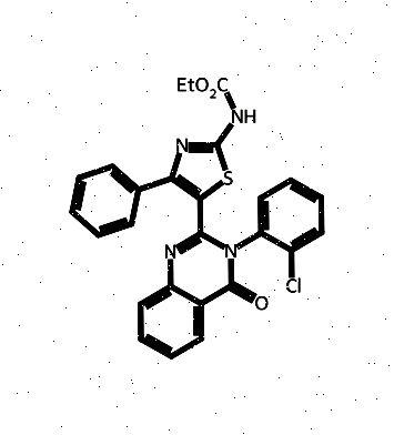 CCOC(=O)Nc1nc(-c2ccccc2)c(-c2nc3ccccc3c(=O)n2-c2ccccc2Cl)s1